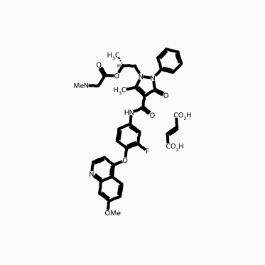 CNCC(=O)O[C@H](C)Cn1c(C)c(C(=O)Nc2ccc(Oc3ccnc4cc(OC)ccc34)c(F)c2)c(=O)n1-c1ccccc1.O=C(O)C=CC(=O)O